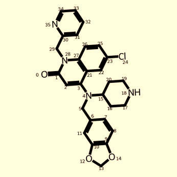 O=c1cc(N(Cc2ccc3c(c2)OCO3)C2CCNCC2)c2cc(Cl)ccc2n1Cc1ccccn1